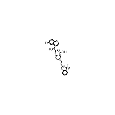 COc1ccc2nccc(C(O)CC[C@@H]3CCN(CCCSc4ccccc4C(F)(F)F)C[C@@H]3C(=O)O)c2c1